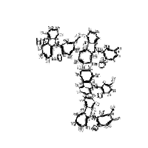 Cc1ccc([O-])c(-n2c3ccccc3c3ccccc32)c1.Cc1ccc([O-])c(-n2c3ccccc3c3ccccc32)c1.Cc1ccc([O-])c(-n2c3ccccc3c3ccccc32)c1.Cc1ccc([O-])c(-n2c3ccccc3c3ccccc32)c1.[Hf+4]